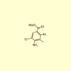 CCc1cc(N(CC)OC)c(CC)c(C)c1N